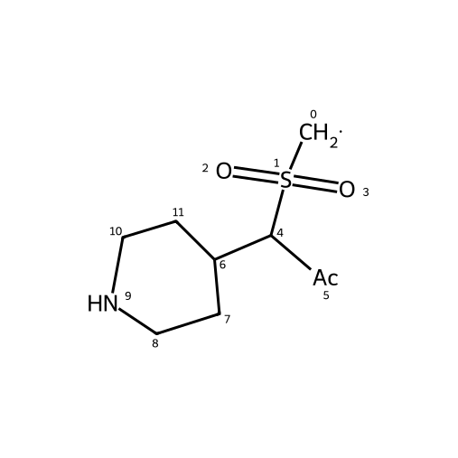 [CH2]S(=O)(=O)C(C(C)=O)C1CCNCC1